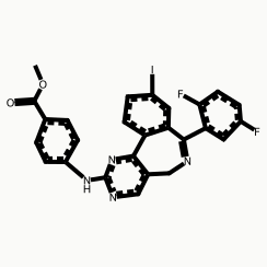 COC(=O)c1ccc(Nc2ncc3c(n2)-c2ccc(I)cc2C(c2cc(F)ccc2F)=NC3)cc1